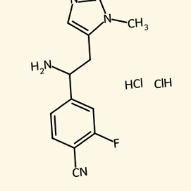 Cl.Cl.Cn1cncc1CC(N)c1ccc(C#N)c(F)c1